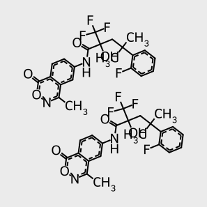 Cc1noc(=O)c2ccc(NC(=O)C(O)(CC(C)(C)c3ccccc3F)C(F)(F)F)cc12.Cc1noc(=O)c2ccc(NC(=O)C(O)(CC(C)(C)c3ccccc3F)C(F)(F)F)cc12